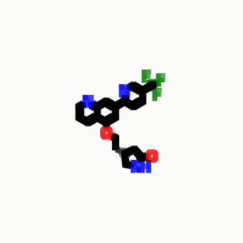 O=C1C[C@@H](CCOc2cc(-c3ccc(C(F)(F)F)cn3)cc3ncccc23)CN1